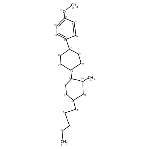 CCCCCC1CCC(C2CCC(c3ccc(OC)cc3)CC2)C(C)C1